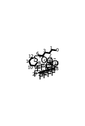 CCCCC(=O)C[S+]1CCCCC1.O=S(=O)([O-])C(F)(F)C(F)(F)C(F)(F)C(F)(F)F